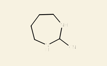 N#CC1NCCCCN1